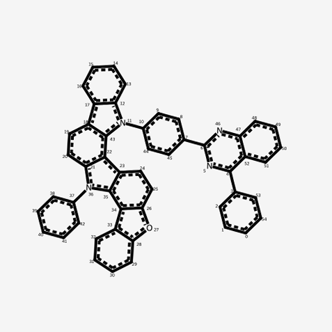 c1ccc(-c2nc(-c3ccc(-n4c5ccccc5c5ccc6c(c7ccc8oc9ccccc9c8c7n6-c6ccccc6)c54)cc3)nc3ccccc23)cc1